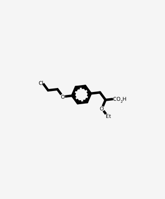 CCOC(Cc1ccc(OCCCl)cc1)C(=O)O